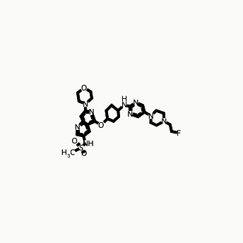 CS(=O)(=O)Nc1cnc2cc(N3CCOCC3)nc(OC3CCC(Nc4ncc(N5CCN(CCF)CC5)cn4)CC3)c2c1